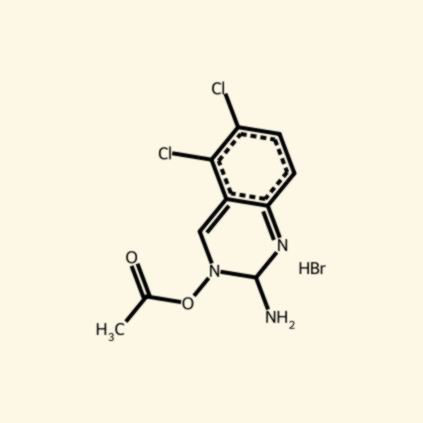 Br.CC(=O)ON1C=c2c(Cl)c(Cl)ccc2=NC1N